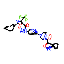 O=C(Nc1ccc(N2CCN(C(=O)c3onc4ccccc34)CC2)nc1)c1oc(-c2ccccc2)nc1C(F)(F)F